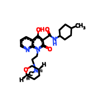 CC1CCC(NC(=O)c2c(O)c3cccnc3n(CCN3C[C@@H]4CC[C@H]3CO4)c2=O)CC1